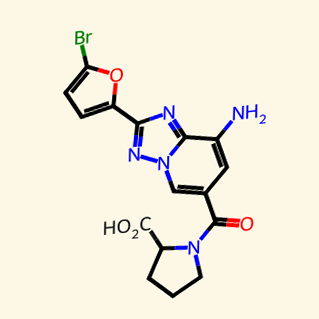 Nc1cc(C(=O)N2CCCC2C(=O)O)cn2nc(-c3ccc(Br)o3)nc12